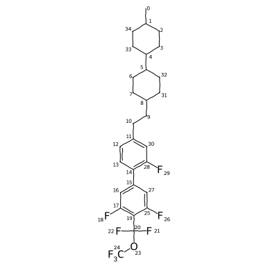 CC1CCC(C2CCC(CCc3ccc(-c4cc(F)c(C(F)(F)OC(F)(F)F)c(F)c4)c(F)c3)CC2)CC1